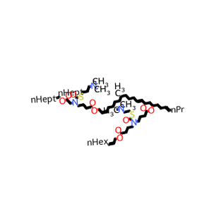 CCC/C=C/CCC(CC/C=C/CCCC(C)CCCC/C=C\COC(=O)CCCN(CC(=O)OC(CCCCCCC)CCCCCCC)C(=O)SCCCN(C)C)OC(=O)CCCN(CCCC(=O)OC/C=C\CCCCCC)C(=O)SCCN(C)C